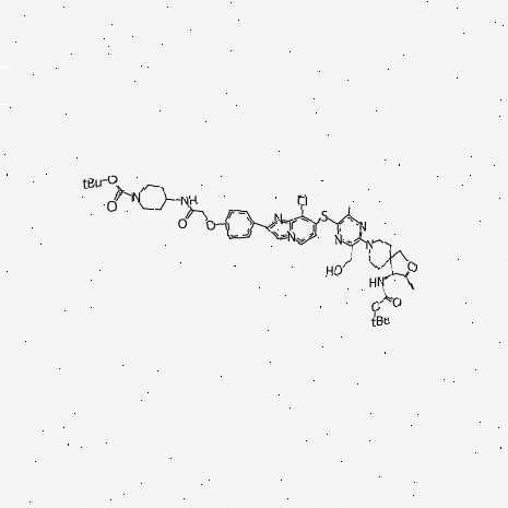 Cc1nc(N2CCC3(CC2)CO[C@@H](C)[C@H]3NC(=O)OC(C)(C)C)c(CO)nc1Sc1ccn2cc(-c3ccc(OCC(=O)NC4CCN(C(=O)OC(C)(C)C)CC4)cc3)nc2c1Cl